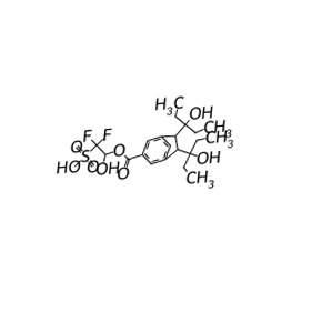 CCC(O)(CC)C1c2cc(C(=O)OC(O)C(F)(F)S(=O)(=O)O)cc(c2)C1C(O)(CC)CC